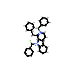 FC(c1ccccc1)n1c2ccccc2c2cc[n+](Cc3ccccc3)c(Cc3ccccc3)c21